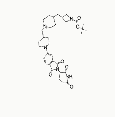 CC(C)(C)OC(=O)N1CC(CC2CCN(CC3CCN(c4ccc5c(c4)C(=O)N(C4CCC(=O)NC4=O)C5=O)CC3)CC2)C1